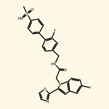 CS(=N)(=O)c1ccc(-c2ccc(CNC(=O)Cn3c(-c4ncco4)cc4cc(F)ccc43)cc2F)cc1